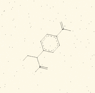 CC(=O)c1ccc(C(CO)C(N)=O)cc1